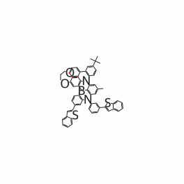 Cc1cc2c3c(c1)N(c1ccc(C(C)(C)C)cc1-c1ccccc1)c1cc4c(cc1B3c1ccc(-c3cc5ccccc5s3)cc1N2c1cccc(-c2cc3ccccc3s2)c1)OCCCO4